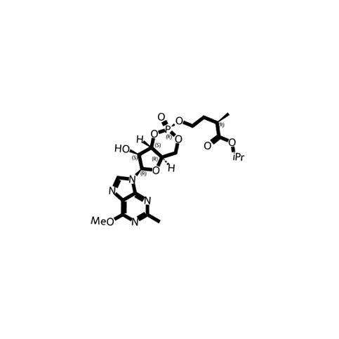 COc1nc(C)nc2c1ncn2[C@@H]1O[C@@H]2CO[P@@](=O)(OCC[C@@H](C)C(=O)OC(C)C)O[C@H]2[C@@H]1O